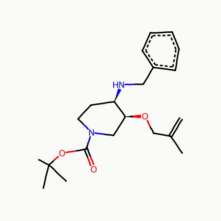 C=C(C)CO[C@H]1CN(C(=O)OC(C)(C)C)CC[C@H]1NCc1ccccc1